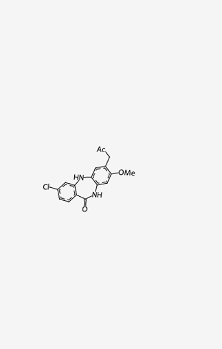 COc1cc2c(cc1CC(C)=O)Nc1cc(Cl)ccc1C(=O)N2